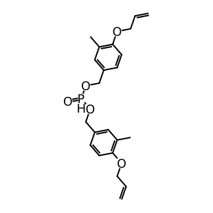 C=CCOc1ccc(CO[PH](=O)OCc2ccc(OCC=C)c(C)c2)cc1C